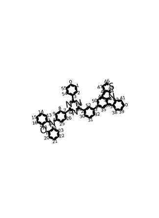 c1ccc(-c2nc(-c3ccc(N4c5ccccc5Oc5ccccc54)cc3)nc(-c3cccc(-c4cc5c6ccccc6n6c7sccc7c(c4)c56)c3)n2)cc1